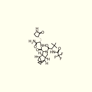 CC(C)(C)[C@H](NC(=O)C(F)(F)F)C(=O)N1C[C@H]2[C@@H]([C@H]1C(=O)N[C@@H](C[C@@H]1CCNC1=O)C(N)=O)[C@H]1CC[C@@H]2C12CC2